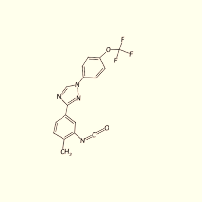 Cc1ccc(-c2ncn(-c3ccc(OC(F)(F)F)cc3)n2)cc1N=C=O